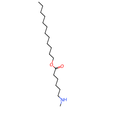 CCCCCCCCCCCCOC(=O)CCCCCNC